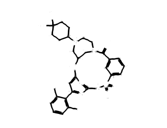 Cc1cccc(C)c1-c1cc2nc(n1)NS(=O)(=O)c1cccc(c1)C(=O)N1CCN(C3CCC(F)(F)CC3)CC(C1)O2